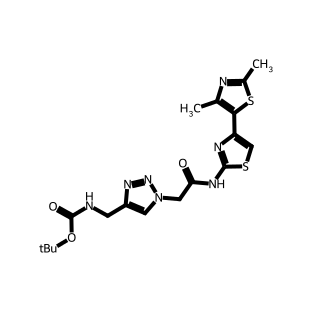 Cc1nc(C)c(-c2csc(NC(=O)Cn3cc(CNC(=O)OC(C)(C)C)nn3)n2)s1